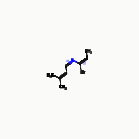 C/C=C(\N=C/C=C(C)C)C(C)C